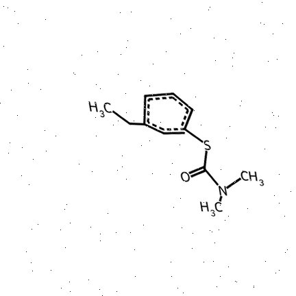 CCc1cccc(SC(=O)N(C)C)c1